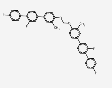 Cc1cc(-c2ccc(-c3ccc(F)cc3)c(F)c2)ccc1OCOc1ccc(-c2ccc(-c3ccc(F)cc3)c(F)c2)cc1C